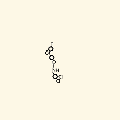 Fc1ccc2c(-c3ccc(OCCCNCc4ccc(Cl)c(Cl)c4)cc3)occ2c1